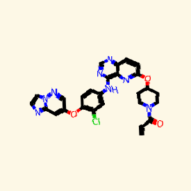 C=CC(=O)N1CCC(Oc2ccc3ncnc(Nc4ccc(Oc5cnn6ccnc6c5)c(Cl)c4)c3n2)CC1